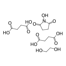 O=C(O)CCC(=O)O.O=C(O)CCC(=O)O.O=C1CCC(=O)N1O.OCCO